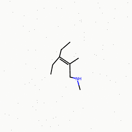 CCC(CC)=C(C)CNC